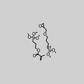 C=C(C)C(=O)OCCC[Si](OC)(OC)OC.CO[SiH](CCCCOCC1CO1)OC